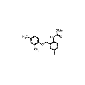 COC(=S)Nc1ccc(F)cc1COc1ccc(C)cc1C